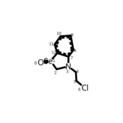 O=[Se]1CN(CCCl)c2ccccc21